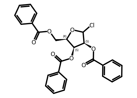 O=C(OC[C@H]1OC(Cl)[C@@H](OC(=O)c2ccccc2)[C@H]1OC(=O)c1ccccc1)c1ccccc1